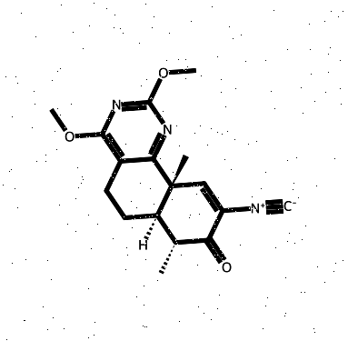 [C-]#[N+]C1=C[C@@]2(C)c3nc(OC)nc(OC)c3CC[C@@H]2[C@@H](C)C1=O